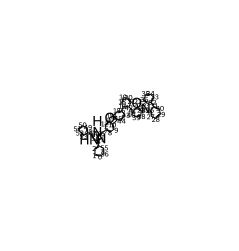 c1ccc(C2=NC(c3ccc4c(c3)oc3cc(-c5cccc6oc7c(-n8c9ccccc9c9ccccc98)cccc7c56)ccc34)NC(c3ccccc3)N2)cc1